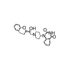 O=c1[nH]c(=O)n(C2CCN(C[C@H](O)[C@H]3CCc4ccccc4O3)CC2)c2ccccc12